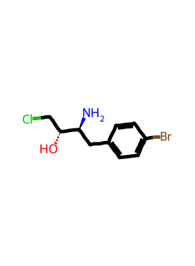 N[C@@H](Cc1ccc(Br)cc1)[C@H](O)CCl